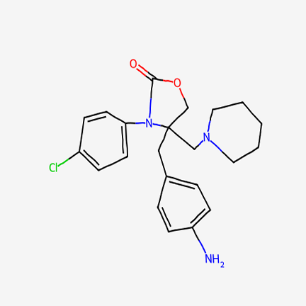 Nc1ccc(CC2(CN3CCCCC3)COC(=O)N2c2ccc(Cl)cc2)cc1